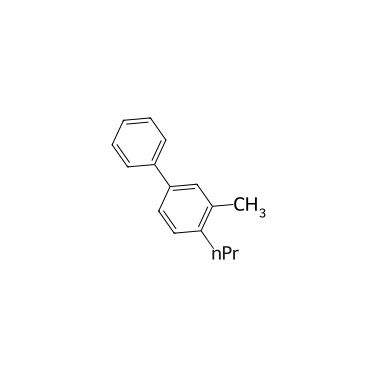 CCCc1ccc(-c2ccccc2)cc1C